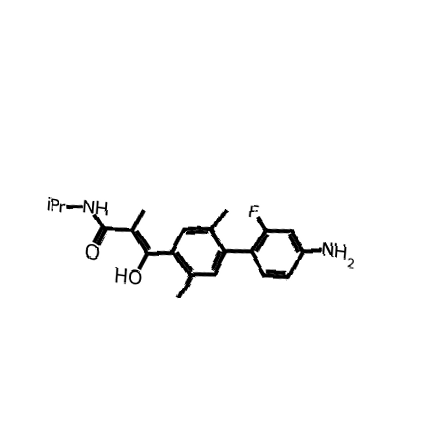 C/C(C(=O)NC(C)C)=C(/O)c1cc(C)c(-c2ccc(N)cc2F)cc1C